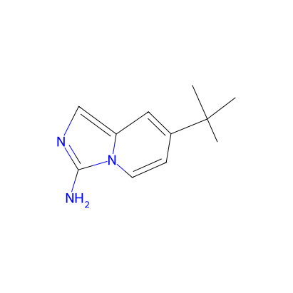 CC(C)(C)c1ccn2c(N)ncc2c1